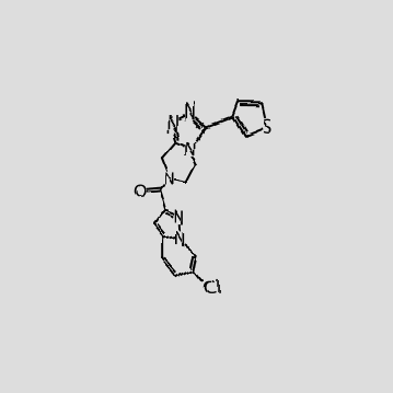 O=C(c1cc2ccc(Cl)cn2n1)N1CCn2c(nnc2-c2ccsc2)C1